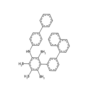 Bc1c(B)c(Nc2ccc(-c3ccccc3)cc2)c(B)c(-c2cccc(-c3cccc4ccccc34)c2)c1B